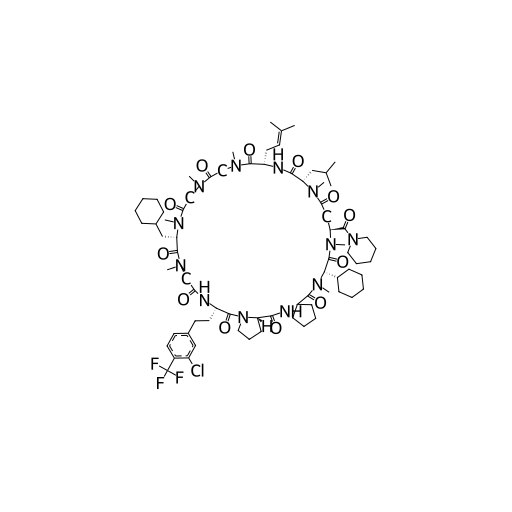 CC(C)=CC[C@@H]1NC(=O)[C@H](CC(C)C)N(C)C(=O)C[C@@H](C(=O)N2CCCCC2)N(C)C(=O)[C@H](C2CCCCC2)N(C)C(=O)C2(CCCC2)NC(=O)[C@@H]2CCCN2C(=O)[C@H](CCc2ccc(C(F)(F)F)c(Cl)c2)NC(=O)CN(C)C(=O)[C@H](CC2CCCCC2)N(C)C(=O)CN(C)C(=O)CN(C)C1=O